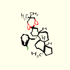 CC1(C)COC2(CC[C@]3(Cc4ccccc4F)C4=CC[C@]5(C)CCC[C@H]5[C@@H]4CC[C@H]3C2)OC1